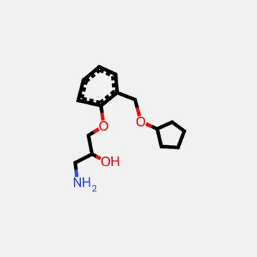 NCC(O)COc1ccccc1COC1CCCC1